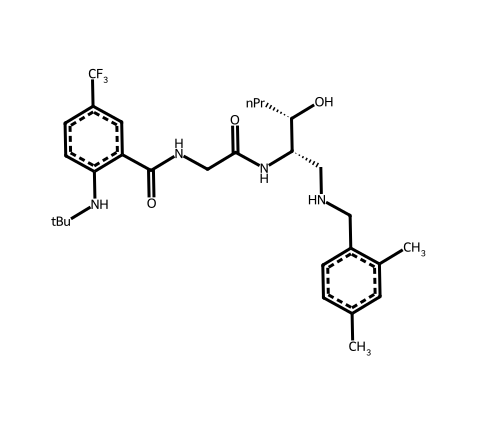 CCC[C@H](O)[C@H](CNCc1ccc(C)cc1C)NC(=O)CNC(=O)c1cc(C(F)(F)F)ccc1NC(C)(C)C